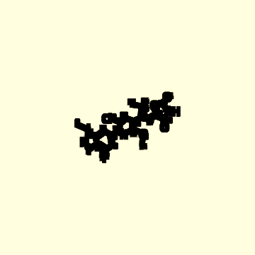 CCn1ncc2c(F)cc(-c3nc(OC)c(C(C=C4OC(=O)NC4=O)C(C)C)cc3Cl)cc21